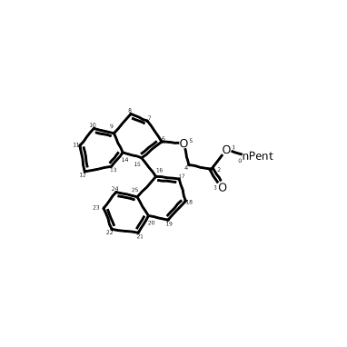 CCCCCOC(=O)COc1ccc2ccccc2c1-c1cccc2ccccc12